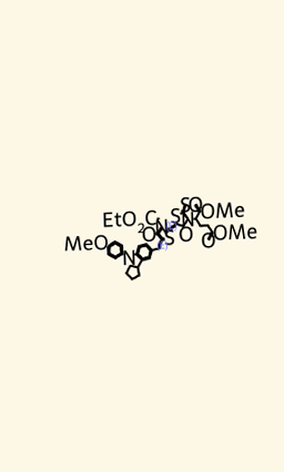 CCOC(=O)Cn1c(=O)/c(=C\c2ccc3c(c2)C2CCCC2N3c2ccc(OC)cc2)s/c1=C1/SC(=S)N(C(CCC(=O)OC)C(=O)OC)C1=O